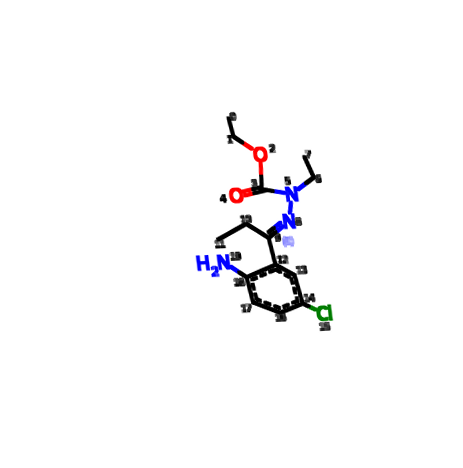 CCOC(=O)N(CC)/N=C(\CC)c1cc(Cl)ccc1N